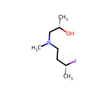 C[C@H](O)CN(C)CC[C@@H](C)I